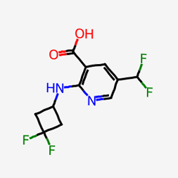 O=C(O)c1cc(C(F)F)cnc1NC1CC(F)(F)C1